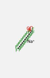 O=S(=O)([O-])C(F)(F)C(F)(F)C(F)(F)C(F)(F)C(F)(F)C(F)(F)C(F)(F)C(F)(F)C(F)(F)C(F)(F)C(F)(F)F.[Na+]